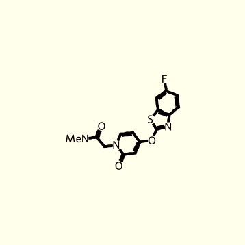 CNC(=O)Cn1ccc(Oc2nc3ccc(F)cc3s2)cc1=O